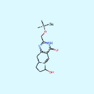 CC(C)(C)[Si](C)(C)OCc1nc2c(c(=O)[nH]1)C=C1C(O)CCC1C2